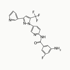 Nc1cc(F)cc(C(=O)Nc2ccc(-n3nc(-c4cccnc4)cc3C(F)(F)F)cn2)c1